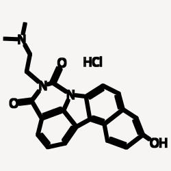 CN(C)CCn1c(=O)c2cccc3c4c5ccc(O)cc5ccc4n(c1=O)c23.Cl